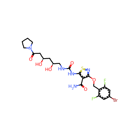 NC(=O)c1c(OCc2c(F)cc(Br)cc2F)nsc1NC(=O)NC[C@@H](O)C[C@@H](O)CC(=O)N1CCCC1